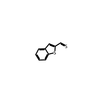 S=Cc1cc2ccccc2s1